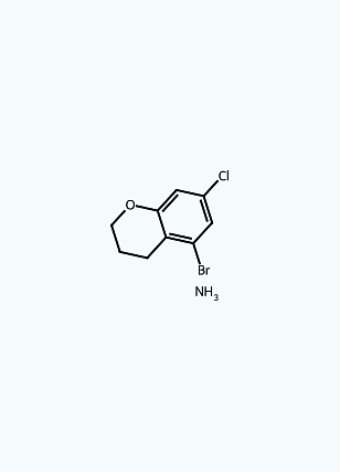 Clc1cc(Br)c2c(c1)OCCC2.N